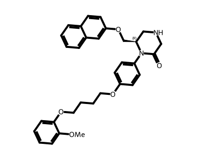 COc1ccccc1OCCCCOc1ccc(N2C(=O)CNC[C@@H]2COc2ccc3ccccc3c2)cc1